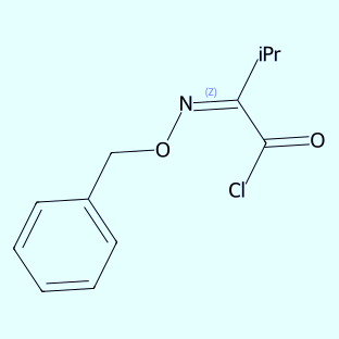 CC(C)/C(=N/OCc1ccccc1)C(=O)Cl